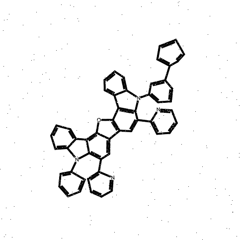 c1ccc(-c2cccc(-n3c4ccccc4c4c5oc6c(cc(-c7ccccn7)c7c6c6ccccc6n7-c6ccccc6)c5cc(-c5ccccn5)c43)c2)cc1